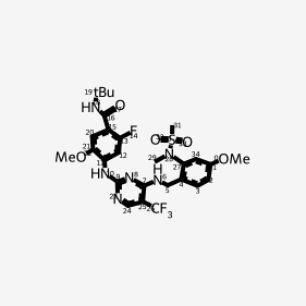 COc1ccc(CNc2nc(Nc3cc(F)c(C(=O)NC(C)(C)C)cc3OC)ncc2C(F)(F)F)c(N(C)S(C)(=O)=O)c1